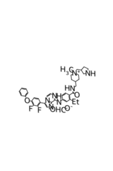 CCc1cc(Nc2nccn3c(-c4ccc(Oc5ccccc5)c(F)c4F)cnc23)ccc1C(=O)NCC1CC[N+](C)(CC2CCNC2)CC1.O=C[O-]